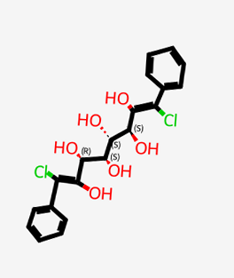 OC(=C(Cl)c1ccccc1)[C@@H](O)[C@@H](O)[C@H](O)[C@@H](O)C(O)=C(Cl)c1ccccc1